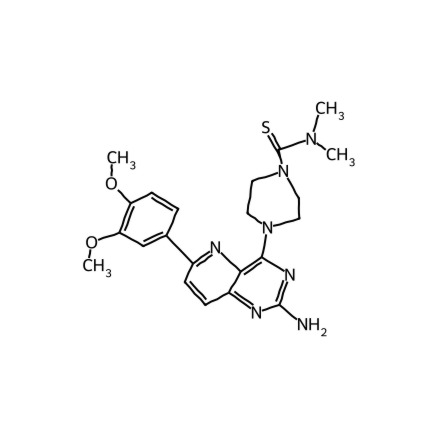 COc1ccc(-c2ccc3nc(N)nc(N4CCN(C(=S)N(C)C)CC4)c3n2)cc1OC